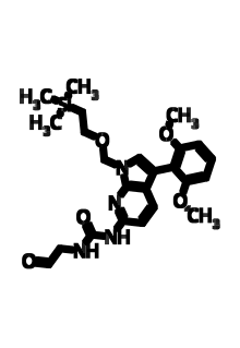 COc1cccc(OC)c1-c1cn(COCC[Si](C)(C)C)c2nc(NC(=O)NCC=O)ccc12